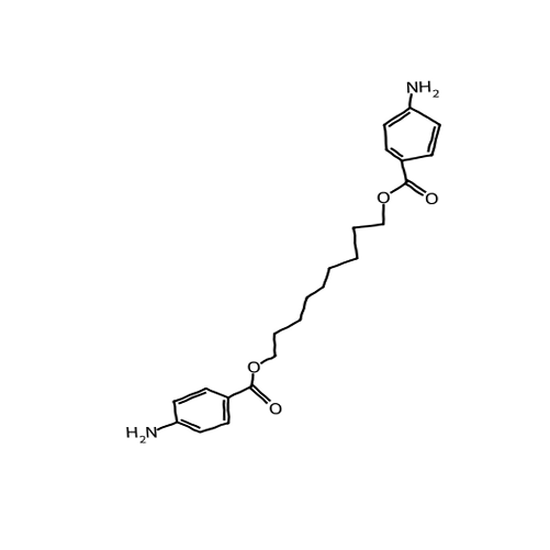 Nc1ccc(C(=O)OCCCCCCCCCOC(=O)c2ccc(N)cc2)cc1